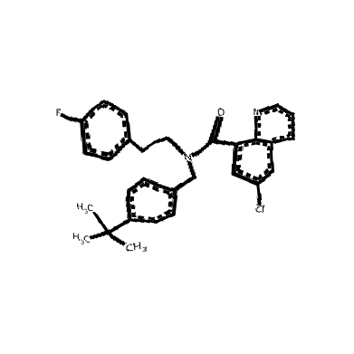 CC(C)(C)c1ccc(CN(CCc2ccc(F)cc2)C(=O)c2cc(Cl)cc3cccnc23)cc1